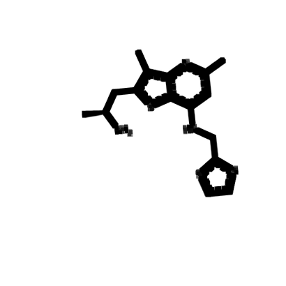 Cc1cc(NCc2nccs2)c2sc(C[C@H](C)N)c(C)c2n1